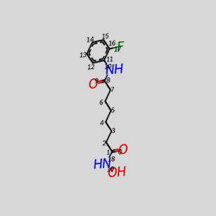 O=C(CCCCCCC(=O)Nc1ccccc1F)NO